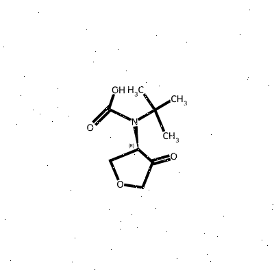 CC(C)(C)N(C(=O)O)[C@@H]1COCC1=O